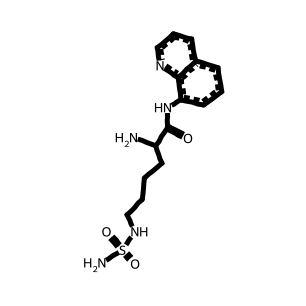 NC(CCCCNS(N)(=O)=O)C(=O)Nc1cccc2cccnc12